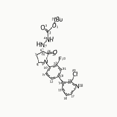 CC(C)(C)OC(=O)NN[C@H]1CCN(c2ccc(-c3cccnc3Cl)cc2F)C1=O